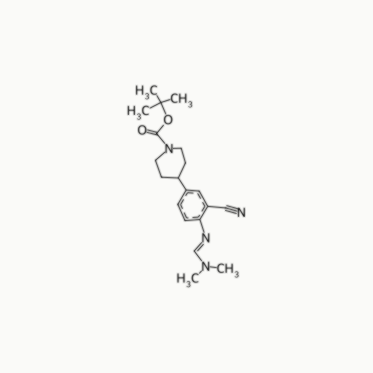 CN(C)C=Nc1ccc(C2CCN(C(=O)OC(C)(C)C)CC2)cc1C#N